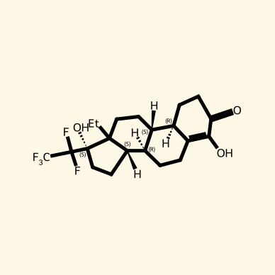 CCC12CC[C@H]3[C@@H](CCC4=C(O)C(=O)CC[C@@H]43)[C@@H]1CC[C@@]2(O)C(F)(F)C(F)(F)F